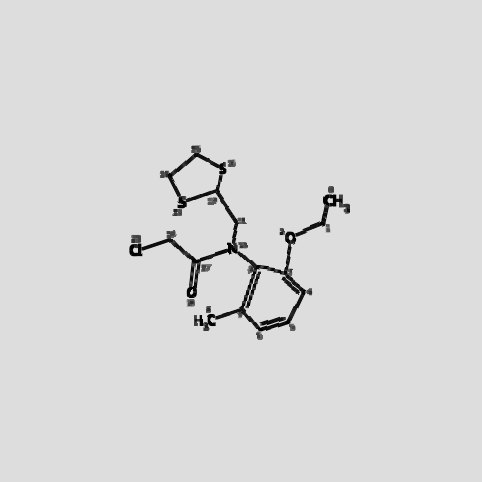 CCOc1cccc(C)c1N(CC1SCCS1)C(=O)CCl